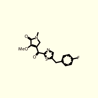 COC1=C(C(=O)c2ncc(Cc3ccc(F)cc3)s2)CN(C)C1=O